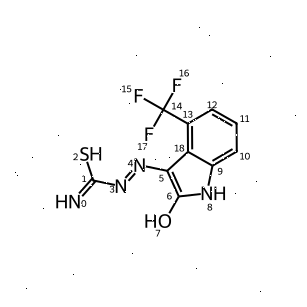 N=C(S)/N=N/c1c(O)[nH]c2cccc(C(F)(F)F)c12